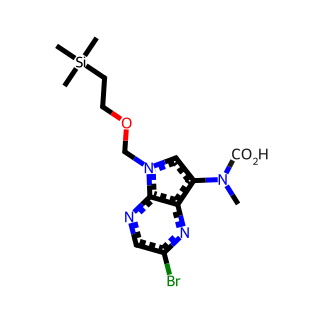 CN(C(=O)O)c1cn(COCC[Si](C)(C)C)c2ncc(Br)nc12